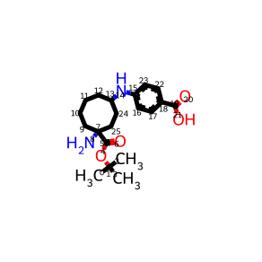 CC(C)(C)OC(=O)C1(N)CCCCC(Nc2ccc(C(=O)O)cc2)CC1